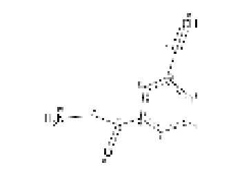 C#Cc1cccc(C(=O)CN)c1